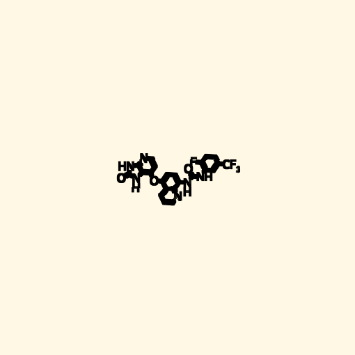 O=C(Nc1cc(C(F)(F)F)ccc1F)Nc1ccc(Oc2ccnc3[nH]c(=O)[nH]c23)c2cccnc12